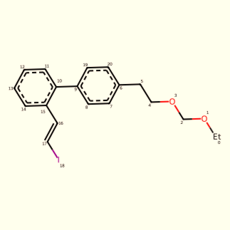 CCOCOCCc1ccc(-c2ccccc2C=CI)cc1